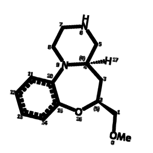 COC[C@@H]1C[C@@H]2CNCCN2c2ccccc2O1